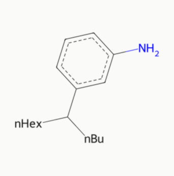 CCCCCCC(CCCC)c1cccc(N)c1